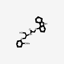 COc1ccccc1OCC(CO)NC(=O)COc1cccc2[nH]c3ccccc3c12